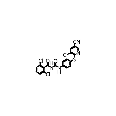 N#Cc1cnc(Sc2ccc(NC(=O)NC(=O)c3c(Cl)cccc3Cl)cc2)c(Cl)c1